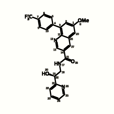 COc1cc(-c2ccc(C(F)(F)F)cc2)c2ncc(C(=O)NC[C@H](O)c3ccccn3)cc2c1